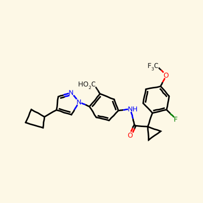 O=C(O)c1cc(NC(=O)C2(c3ccc(OC(F)(F)F)cc3F)CC2)ccc1-n1cc(C2CCC2)cn1